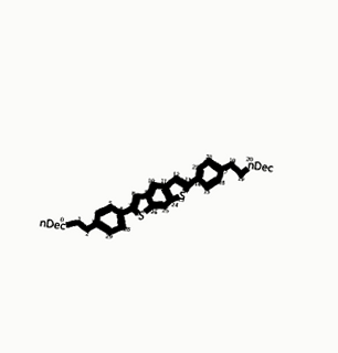 CCCCCCCCCCCCc1ccc(-c2cc3cc4cc(-c5ccc(CCCCCCCCCCCC)cc5)sc4cc3s2)cc1